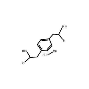 CCCCC(CC)Cc1ccc(CC(CC)CCCC)cc1.O=CO